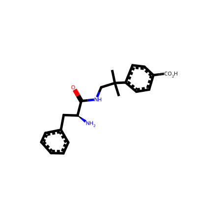 CC(C)(CNC(=O)[C@@H](N)Cc1ccccc1)c1ccc(C(=O)O)cc1